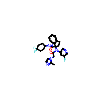 Cc1nccn1CC(=O)N(c1cncc(F)c1)C1(C(=O)NC2CCC(F)(F)CC2)CCc2ccccc21